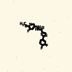 COc1ncc(NNC(=O)c2cnc(-c3ccc(F)c(F)c3)s2)cc1F